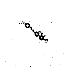 CCCC1CCC(CCCCc2ccc(-c3ccc(C4CO4)c(F)c3C(F)F)cc2)CC1